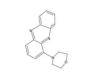 c1ccc2nc3c(N4CCOCC4)cccc3nc2c1